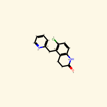 O=C1CCc2c(ccc(Cl)c2Cc2ccccn2)N1